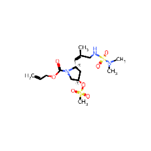 C=CCOC(=O)N1C[C@H](OS(C)(=O)=O)C[C@H]1C=C(C)CNS(=O)(=O)N(C)C